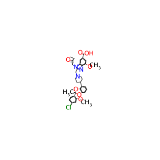 COc1cc(Cl)ccc1C1(C)Oc2cccc(C3CCN(Cc4nc5c(OC)cc(C(=O)O)cc5n4C[C@@H]4CCO4)CC3)c2O1